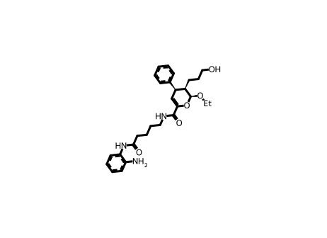 CCO[C@H]1OC(C(=O)NCCCCC(=O)Nc2ccccc2N)=C[C@@H](c2ccccc2)[C@H]1CCCO